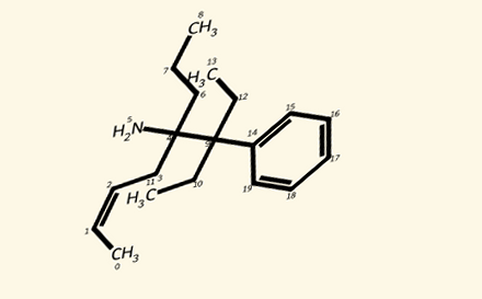 C/C=C\CC(N)(CCC)C(CC)(CC)c1ccccc1